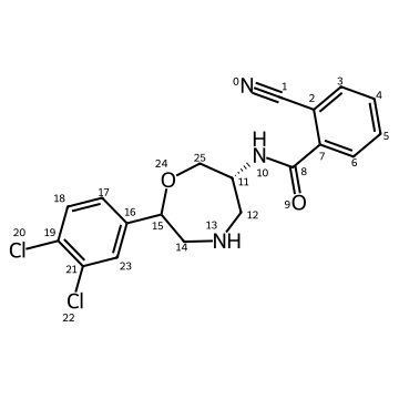 N#Cc1ccccc1C(=O)N[C@@H]1CNCC(c2ccc(Cl)c(Cl)c2)OC1